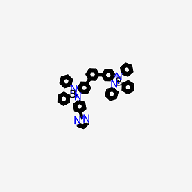 c1ccc(B2N(c3ccccc3)c3ccc(-c4cccc(-c5ccc6c(c5)N(c5ccccc5)B(c5ccccc5)N6c5ccc(-c6ncccn6)cc5)c4)cc3N2c2ccccc2)cc1